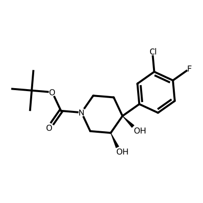 CC(C)(C)OC(=O)N1CC[C@](O)(c2ccc(F)c(Cl)c2)[C@@H](O)C1